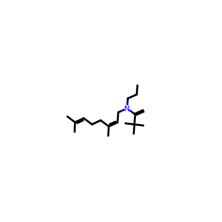 C=C(N(C/C=C(/C)CCC=C(C)C)CCC)C(C)(C)C